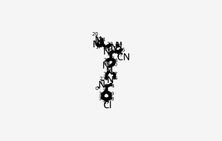 CN(C)C(CN1CCN(c2ccc(-c3nc(-c4cnn(C)c4)cn4ncc(C#N)c34)cn2)CC1)c1ccc(Cl)cc1